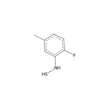 Cc1ccc(F)c(NS)c1